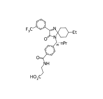 CCC[C@H](c1ccc(C(=O)NCCC(=O)O)cc1)N1C(=O)C(c2cccc(C(F)(F)F)c2)=NC12CCC(CC)CC2